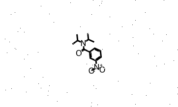 CC(C)N(C(=O)c1cccc([N+](=O)[O-])c1)C(C)C